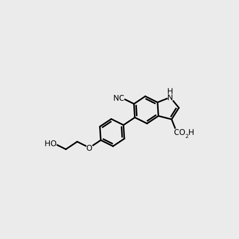 N#Cc1cc2[nH]cc(C(=O)O)c2cc1-c1ccc(OCCO)cc1